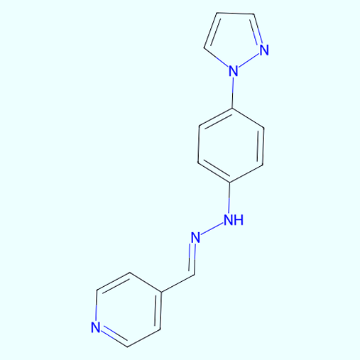 C(=NNc1ccc(-n2cccn2)cc1)c1ccncc1